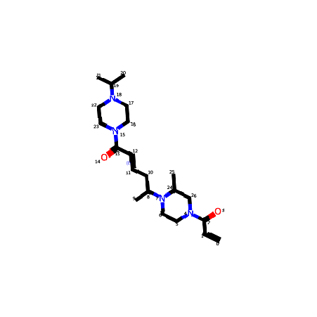 C=CC(=O)N1CCN(C(C)C/C=C/C(=O)N2CCN(C(C)C)CC2)C(C)C1